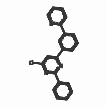 Clc1cc(-c2cccc(-c3ccccn3)c2)nc(-c2ccccc2)n1